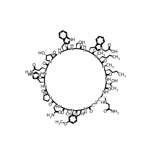 CCCC[C@H]1C(=O)N(C)[C@@H](CCCC)C(=O)N[C@@H](C(C)O)C(=O)N[C@H](CNCC(N)=O)CSCC(=O)N[C@H]2Cc3ccc(OC)cc3N(C2=O)[C@@H](C)C(=O)N[C@@H](CC(N)=O)C(=O)N2CCC[C@H]2C(=O)N[C@@H](Cc2c[nH]cn2)C(=O)N[C@@H](CCC(N)=O)C(=O)N2C[C@H](O)C[C@H]2C(=O)N[C@@H](Cc2c[nH]c3ccccc23)C(=O)N[C@@H](CO)C(=O)N[C@@H](Cc2cn(CC(=O)O)c3ccccc23)C(=O)N1C